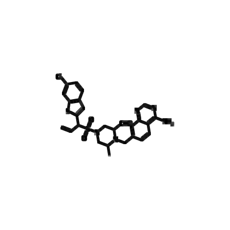 C=CC(c1cc2ccc(Cl)cc2s1)S(=O)(=O)N1CC(C)N(Cc2ccc3c(N)ncnc3c2)C(C=O)C1